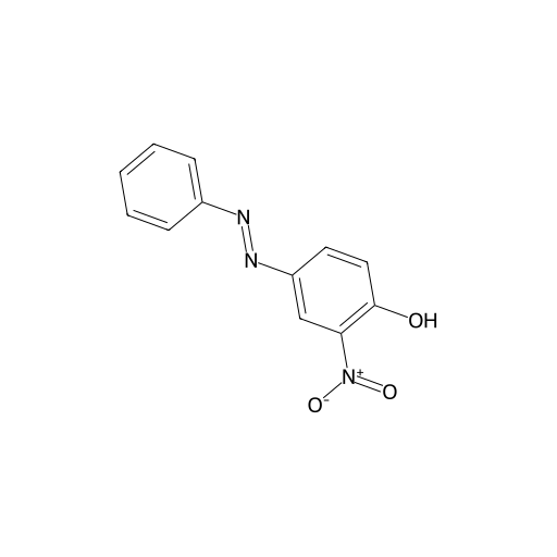 O=[N+]([O-])c1cc(/N=N/c2ccccc2)ccc1O